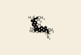 CCC[C@@H](C)[C@H]1CCC2C3CCC4CC(C(O)(C(O)CO)C5CC[C@@]6(C)C(CCC7C6CC[C@@]6(C)C7CC[C@@H]6[C@H](C)CCC)C5)CC[C@]4(C)C3CC[C@@]21C